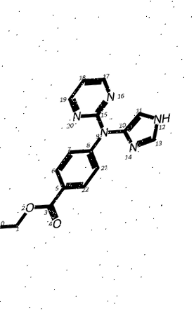 CCOC(=O)c1ccc(N(c2c[nH]cn2)c2ncccn2)cc1